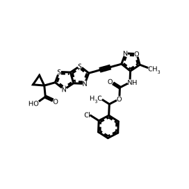 Cc1onc(C#Cc2nc3nc(C4(C(=O)O)CC4)sc3s2)c1NC(=O)OC(C)c1ccccc1Cl